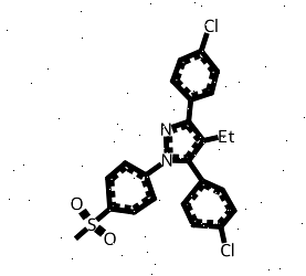 CCc1c(-c2ccc(Cl)cc2)nn(-c2ccc(S(C)(=O)=O)cc2)c1-c1ccc(Cl)cc1